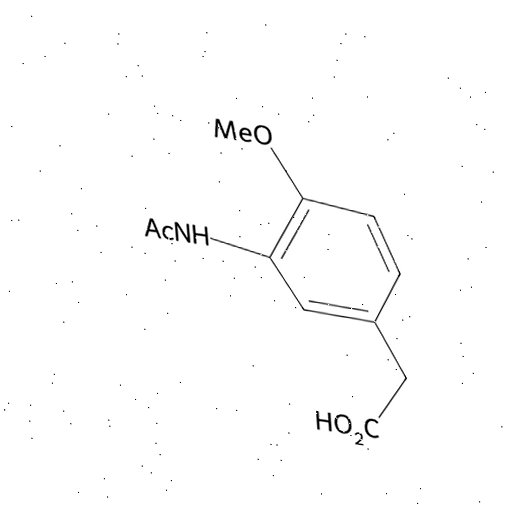 COc1ccc(CC(=O)O)cc1NC(C)=O